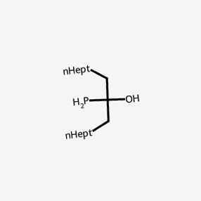 CCCCCCCCC(O)(P)CCCCCCCC